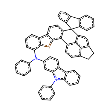 c1ccc(N(c2ccc3c4ccccc4n(-c4ccccc4)c3c2)c2cccc3c2sc2c4c(ccc23)C2(c3ccccc3-c3ccccc32)c2ccc3c5c(ccc-4c25)CC3)cc1